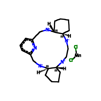 [Cl][Mn][Cl].c1cc2nc(c1)C[N-][C@@H]1CCCC[C@H]1[N-]CC[N-][C@@H]1CCCC[C@H]1[N-]C2